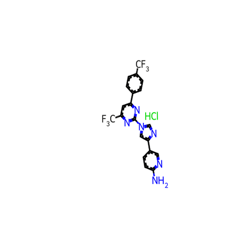 Cl.Nc1ccc(-c2cn(-c3nc(-c4ccc(C(F)(F)F)cc4)cc(C(F)(F)F)n3)cn2)cn1